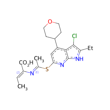 C/C=C(\N=C(/C)Sc1cc(C2CCOCC2)c2c(Cl)c(CC)[nH]c2n1)C(=O)O